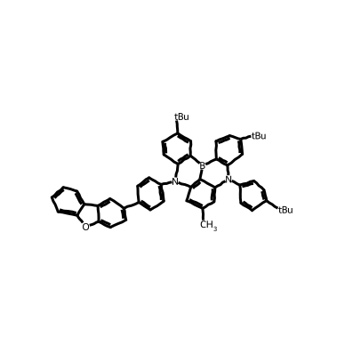 Cc1cc2c3c(c1)N(c1ccc(C(C)(C)C)cc1)c1cc(C(C)(C)C)ccc1B3c1cc(C(C)(C)C)ccc1N2c1ccc(-c2ccc3oc4ccccc4c3c2)cc1